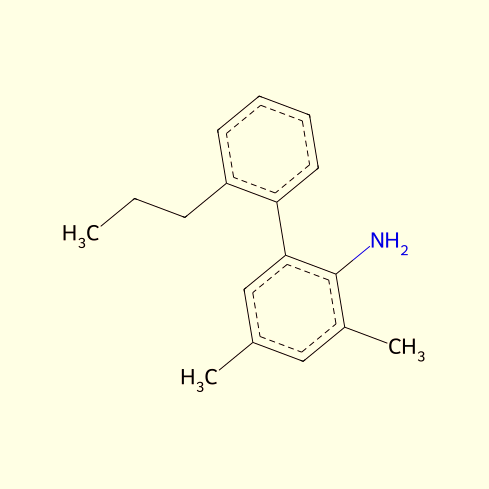 CCCc1ccccc1-c1cc(C)cc(C)c1N